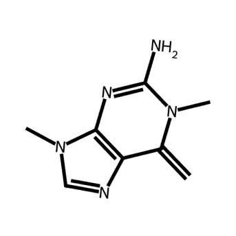 C=C1c2ncn(C)c2N=C(N)N1C